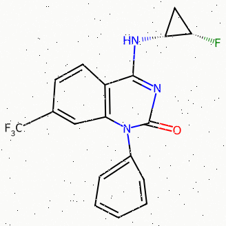 O=c1nc(N[C@@H]2C[C@@H]2F)c2ccc(C(F)(F)F)cc2n1-c1ccccc1